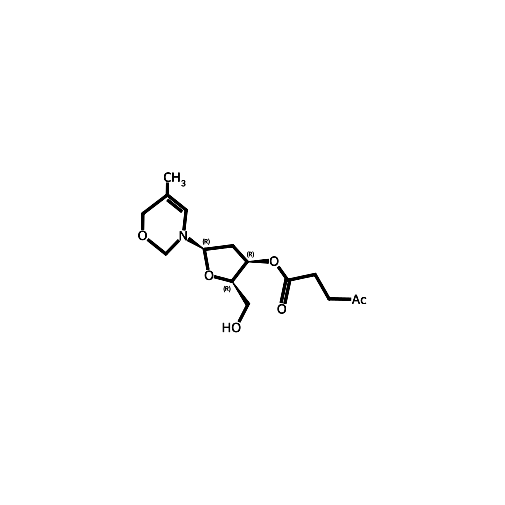 CC(=O)CCC(=O)O[C@@H]1C[C@H](N2C=C(C)COC2)O[C@@H]1CO